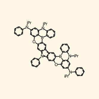 CC(C)N(c1ccccc1)c1cc2c3c(c1)N(C(C)C)c1ccccc1B3c1cc3c4cc5c(cc4n(-c4ccccc4)c3cc1O2)Oc1cc(N(c2ccccc2)C(C)C)cc2c1B5c1ccccc1N2C(C)C